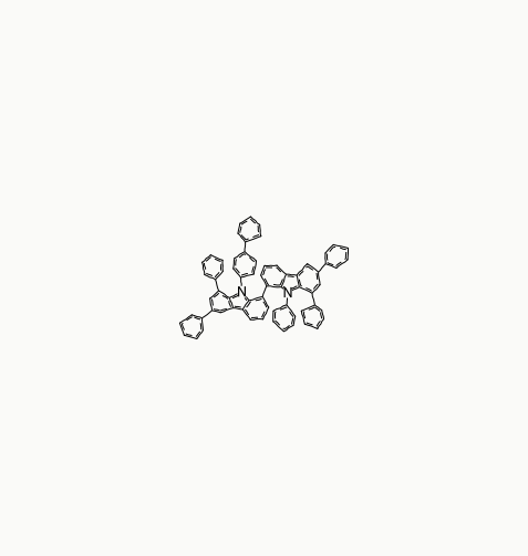 c1ccc(-c2ccc(-n3c4c(-c5ccccc5)cc(-c5ccccc5)cc4c4cccc(-c5cccc6c7cc(-c8ccccc8)cc(-c8ccccc8)c7n(-c7ccccc7)c56)c43)cc2)cc1